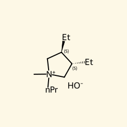 CCC[N+]1(C)C[C@@H](CC)[C@H](CC)C1.[OH-]